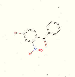 O=C(c1ccccc1)c1ccc(Br)cc1[N+](=O)[O-]